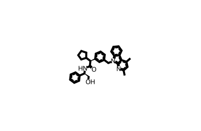 Cc1cc(C)c2c3ccccc3n(Cc3cccc([C@@H](C(=O)N[C@@H](CO)c4ccccc4)C4CCCC4)c3)c2n1